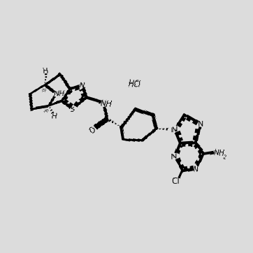 Cl.Nc1nc(Cl)nc2c1ncn2[C@H]1CC[C@@H](C(=O)Nc2nc3c(s2)[C@H]2CC[C@@H](C3)N2)CC1